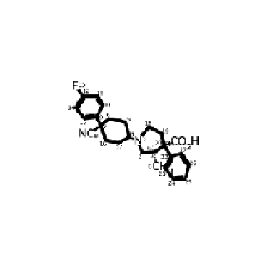 C[C@@H]1CN([C@H]2CC[C@@](C#N)(c3ccc(F)cc3)CC2)CC[C@]1(C(=O)O)c1ccccc1